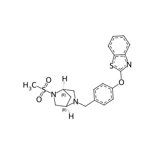 CS(=O)(=O)N1C[C@H]2C[C@@H]1CN2Cc1ccc(Oc2nc3ccccc3s2)cc1